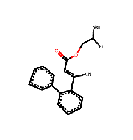 CCCCC(CC)COC(=O)C=C(C#N)c1ccccc1-c1ccccc1